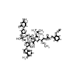 CSS[C@@H](CC[C@H](NC(=O)OC(C)(C)C)C(=O)O[C@H]1[C@@H](O)[C@H](n2cnc3c(N)ncnc32)O[C@@H]1CO[PH](O)(O)O[C@H]1C[C@H](n2ccc(N)nc2=O)O[C@@H]1COP(=O)(O)O)CNC(=O)OCc1ccccc1N=[N+]=[N-]